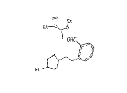 C=C.CCC1CCC(CCc2ccccc2C=O)CC1.CCOC(C)OCC